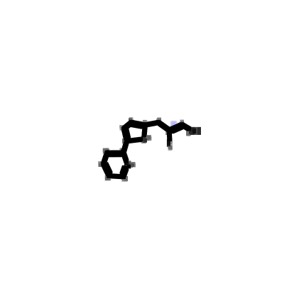 O/C=C(\F)Cc1ccc(-c2ccccn2)s1